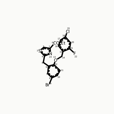 CCOC(=O)c1csc(Cc2cc(Br)ccc2OCc2ccc(Cl)cc2F)n1